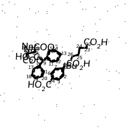 CC(C)(C)c1ccc(C(=O)O)cc1.O=C(O)C(c1ccccc1)c1ccccc1.O=C(O)CCCCC(=O)O.O=C([O-])CCC(=O)[O-].[Na+].[Na+]